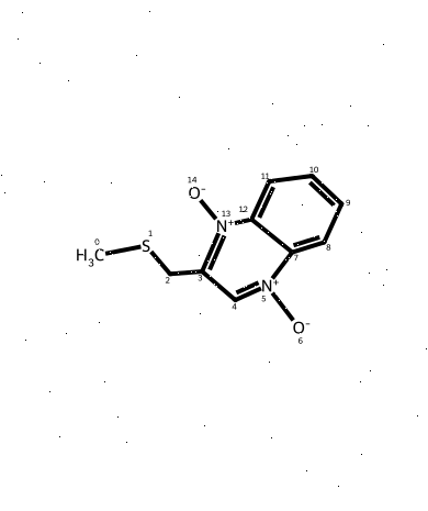 CSCc1c[n+]([O-])c2ccccc2[n+]1[O-]